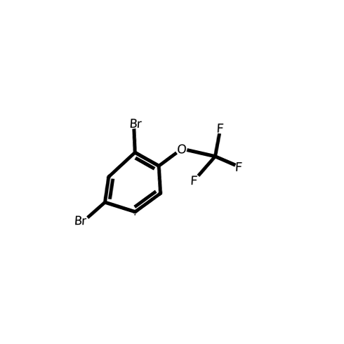 FC(F)(F)Oc1c[c]c(Br)cc1Br